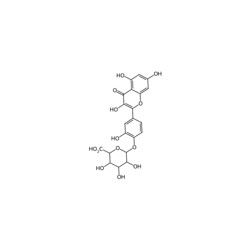 O=C(O)C1OC(Oc2ccc(-c3oc4cc(O)cc(O)c4c(=O)c3O)cc2O)C(O)C(O)C1O